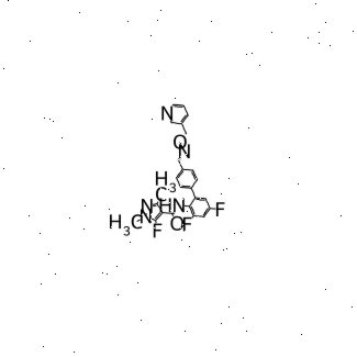 Cc1nn(C)c(F)c1C(=O)Nc1c(F)cc(F)cc1-c1ccc(/C=N/OCc2cccnc2)cc1